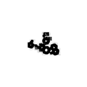 Cc1cccc2cccc(N3CCCc4nc(OC[C@@H]5CCCN5C)nc(N5CCN[C@@H](CC#N)C5)c4C3)c12